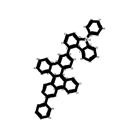 c1ccc(-c2ccc3c(c2)c2ccccc2c2c4ccc(-c5cccc6c5c5ccccc5n6-c5ccccc5)cc4c4ccccc4c32)cc1